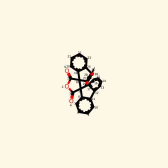 O=C1OC(=O)C2(c3ccccc3-c3ccccc32)C12c1ccccc1-c1ccccc12